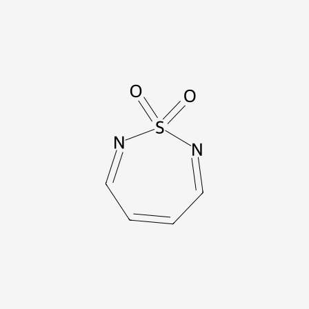 O=S1(=O)N=CC=CC=N1